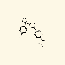 CN(C)C(=O)c1ccc(-c2nc(C3(c4ccc(Br)cc4)CCC3)no2)cn1